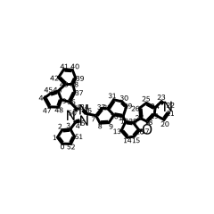 c1ccc(-c2nc(-c3ccc4c(-c5cccc6oc7c8ccncc8ccc7c56)cccc4c3)nc(-c3cc4ccccc4c4ccccc34)n2)cc1